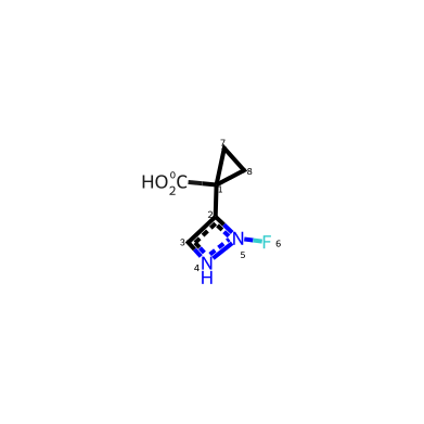 O=C(O)C1(c2c[nH]n2F)CC1